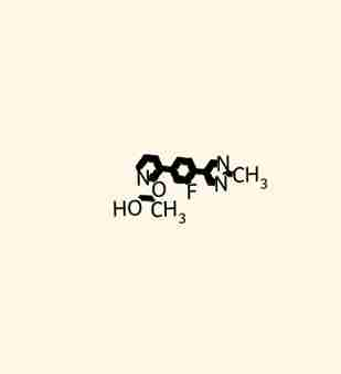 Cc1ncc(-c2ccc(-c3cccnc3O[C@@H](C)CO)cc2F)cn1